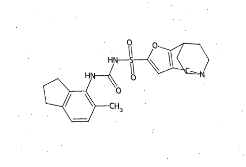 Cc1ccc2c(c1NC(=O)NS(=O)(=O)c1cc3c(o1)C1CCN(CC1)C3)CCC2